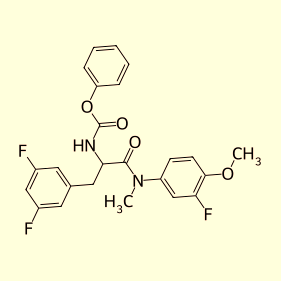 COc1ccc(N(C)C(=O)C(Cc2cc(F)cc(F)c2)NC(=O)Oc2ccccc2)cc1F